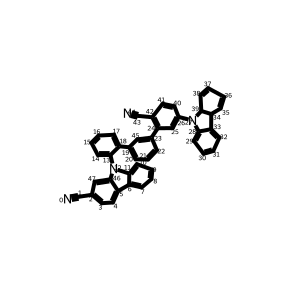 N#Cc1ccc2c3ccccc3n(-c3ccccc3-c3cccc(-c4cc(N5c6ccccc6C6C=CC=CC65)ccc4C#N)c3)c2c1